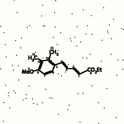 CCOC(=O)/C=C/C=C/c1ccc(OC)c(C)c1C